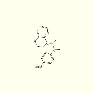 COc1ccc([C@H](C)N(C)[C@H]2CCOc3cccnc32)cc1